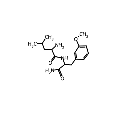 COc1cccc(CC(NC(=O)C(N)CC(C)C)C(N)=O)c1